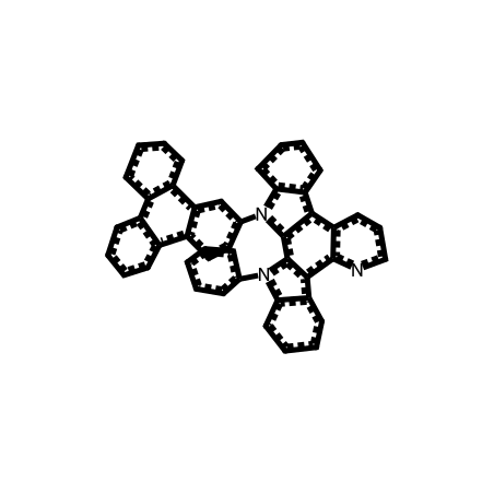 c1ccc(-n2c3ccccc3c3c4ncccc4c4c5ccccc5n(-c5ccc6c7ccccc7c7ccccc7c6c5)c4c32)cc1